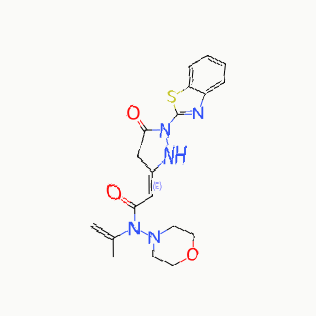 C=C(C)N(C(=O)/C=C1\CC(=O)N(c2nc3ccccc3s2)N1)N1CCOCC1